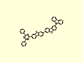 c1ccc(-c2nc(-c3ccccc3)nc(-c3ccc4c(c3)sc3cc(-c5ccc6c(c5)oc5ccc(-n7c8ccccc8c8ccccc87)cc56)ccc34)n2)cc1